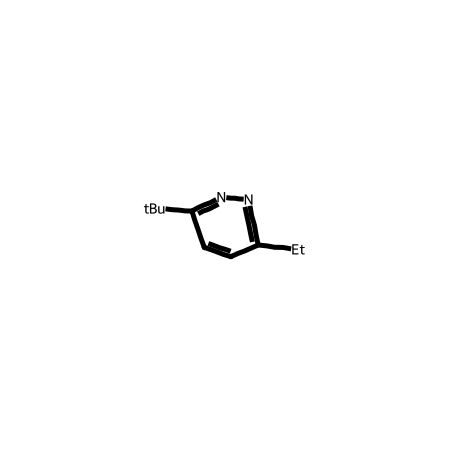 CCc1ccc(C(C)(C)C)nn1